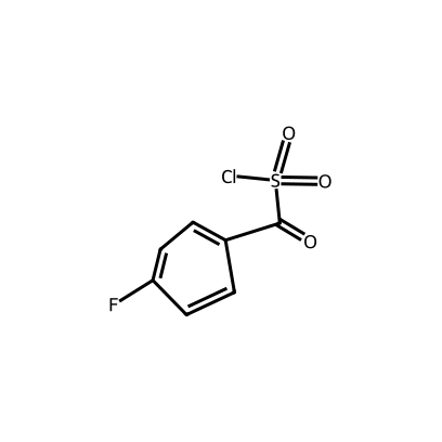 O=C(c1ccc(F)cc1)S(=O)(=O)Cl